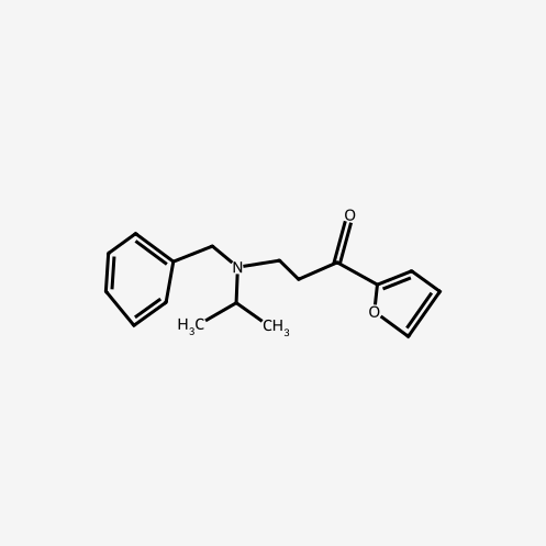 CC(C)N(CCC(=O)c1ccco1)Cc1ccccc1